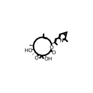 CC1=NC(/C=C(\C)[C@@H]2C/C=C(/C)CCC[C@H](C)[C@H](O)[C@@H](C)C(=O)C(C)(C)[C@@H](O)CC(=O)O2)=CC2CC12